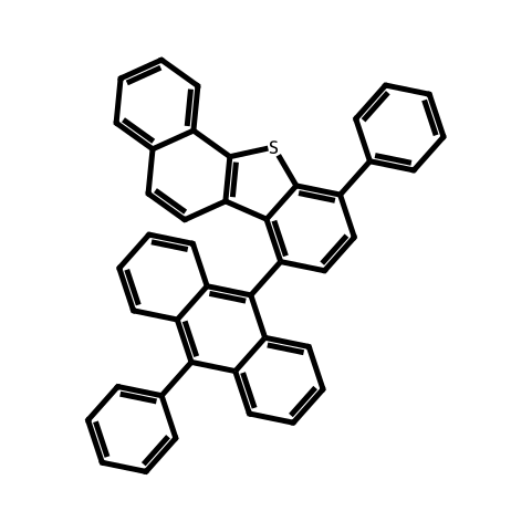 c1ccc(-c2c3ccccc3c(-c3ccc(-c4ccccc4)c4sc5c6ccccc6ccc5c34)c3ccccc23)cc1